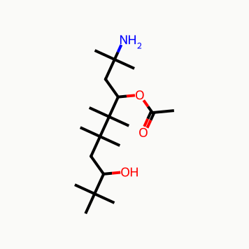 CC(=O)OC(CC(C)(C)N)C(C)(C)C(C)(C)CC(O)C(C)(C)C